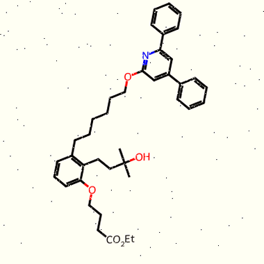 CCOC(=O)CCCOc1cccc(CCCCCCOc2cc(-c3ccccc3)cc(-c3ccccc3)n2)c1CCC(C)(C)O